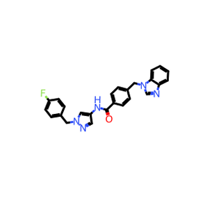 O=C(Nc1cnn(Cc2ccc(F)cc2)c1)c1ccc(Cn2cnc3ccccc32)cc1